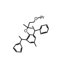 Cc1cc(C(C)c2ccccc2)c(OC(C)(C)CCOC(C)C)c(C(C)c2ccccc2)c1